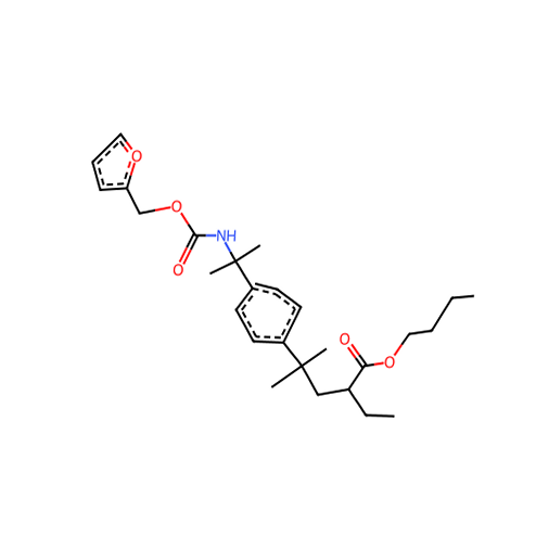 CCCCOC(=O)C(CC)CC(C)(C)c1ccc(C(C)(C)NC(=O)OCc2ccco2)cc1